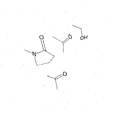 CC(C)=O.CC(C)=O.CCO.CN1CCCC1=O